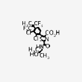 CC(C)(O)CNC(=O)c1nc(C(=O)O)c(-c2ccc(C(C)(C(F)(F)F)C(F)(F)F)c(Cl)c2Cl)s1